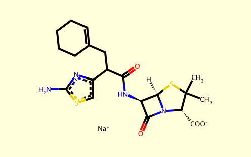 CC1(C)S[C@@H]2[C@H](NC(=O)C(CC3=CCCCC3)c3csc(N)n3)C(=O)N2[C@H]1C(=O)[O-].[Na+]